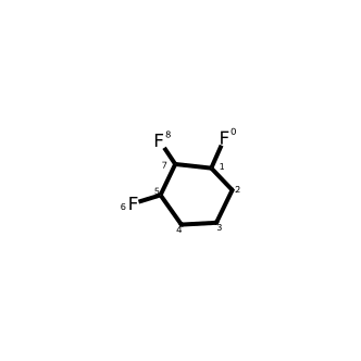 FC1CCCC(F)C1F